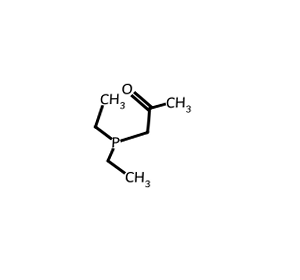 CCP(CC)CC(C)=O